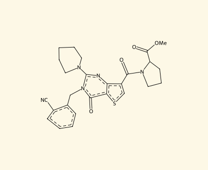 COC(=O)C1CCCN1C(=O)c1csc2c(=O)n(Cc3ccccc3C#N)c(N3CCCCC3)nc12